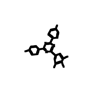 Cc1ccc(-c2nc(-c3ccc(C)cc3)nc(-c3cc(C)c(C)c(C)c3)n2)cc1